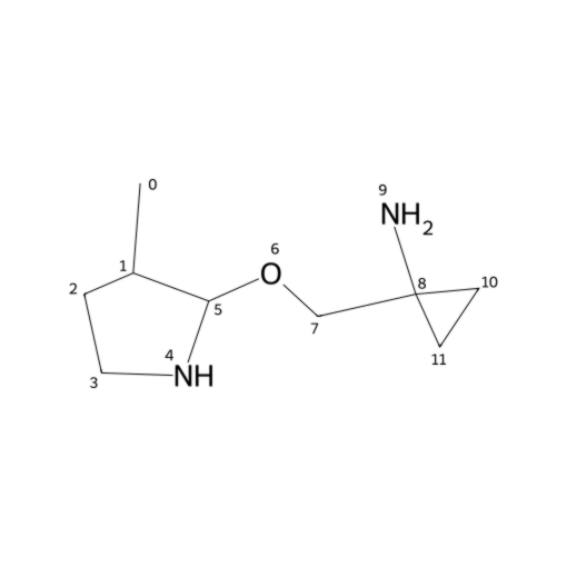 CC1CCNC1OCC1(N)CC1